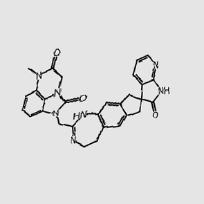 CN1C(=O)Cn2c(=O)n(CC3=NCCc4cc5c(cc4N3)CC3(C5)C(=O)Nc4ncccc43)c3cccc1c32